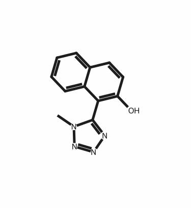 Cn1nnnc1-c1c(O)ccc2ccccc12